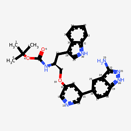 CC(C)(C)OC(=O)N[C@H](COc1cncc(-c2ccc3[nH]nc(N)c3c2)c1)Cc1c[nH]c2ccccc12